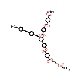 C#Cc1ccc(C#Cc2ccc(C#CC3(OC(=O)c4ccc(OC(=O)C5CCC(C(=O)OCCCCCC)CC5)cc4)CCC(c4ccc(OC(=O)C5CCC(C(=O)OCCCCOC(=O)C=C)CC5)cc4)CC3)cc2)cc1